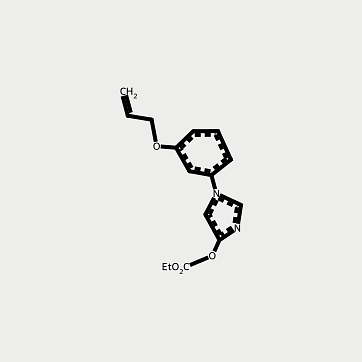 C=CCOc1cccc(-n2cnc(OC(=O)OCC)c2)c1